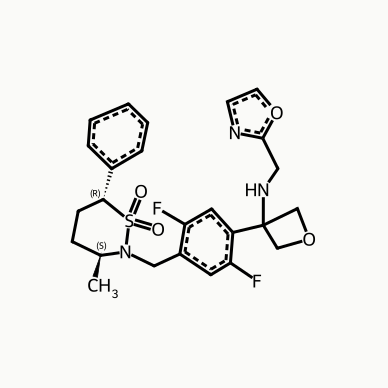 C[C@H]1CC[C@H](c2ccccc2)S(=O)(=O)N1Cc1cc(F)c(C2(NCc3ncco3)COC2)cc1F